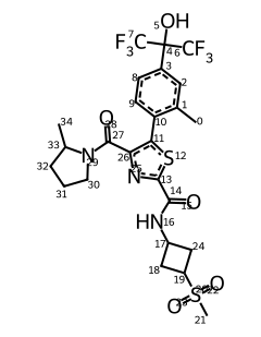 Cc1cc(C(O)(C(F)(F)F)C(F)(F)F)ccc1-c1sc(C(=O)NC2CC(S(C)(=O)=O)C2)nc1C(=O)N1CCCC1C